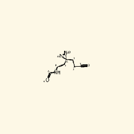 C#CCCC1(CCN[C]=O)N=N1